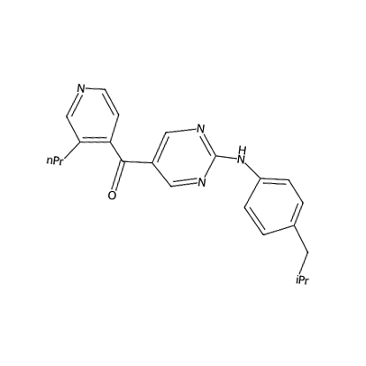 CCCc1cnccc1C(=O)c1cnc(Nc2ccc(CC(C)C)cc2)nc1